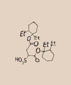 CCC1CCCCC1(CC)OC(=O)CC(C(=O)OC1(CC)CCCCC1CC)S(=O)(=O)O